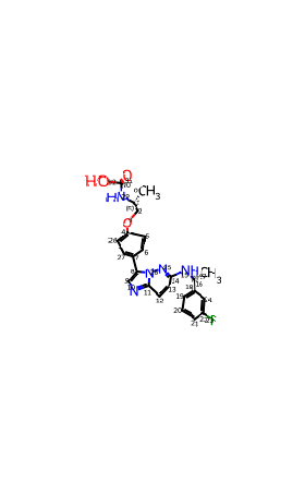 C[C@H](COc1ccc(-c2cnc3ccc(N[C@H](C)c4cccc(F)c4)nn23)cc1)NC(=O)O